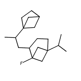 CC(C)C12CCC(CC(C)C34CCC(C3)C4)C(F)(C1)C2